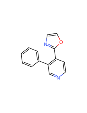 c1ccc(-c2cnccc2-c2ncco2)cc1